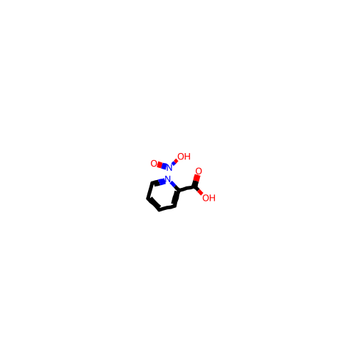 O=C(O)c1ccccn1.O=NO